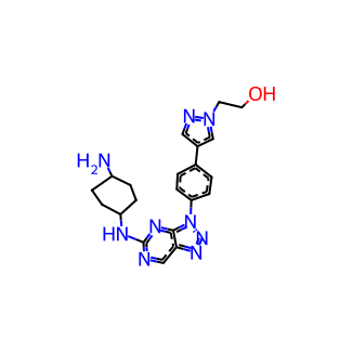 NC1CCC(Nc2ncc3nnn(-c4ccc(-c5cnn(CCO)c5)cc4)c3n2)CC1